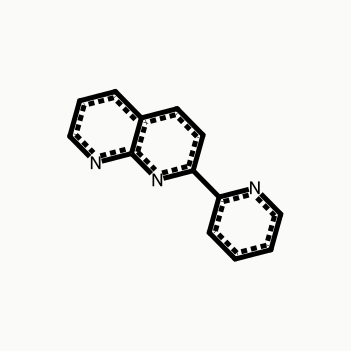 c1ccc(-c2ccc3cccnc3n2)nc1